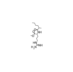 CCCCC(C)C(=O)NC(CCCNC(=N)N)C(=O)OC